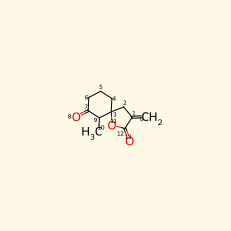 C=C1CC2(CCCC(=O)C2C)OC1=O